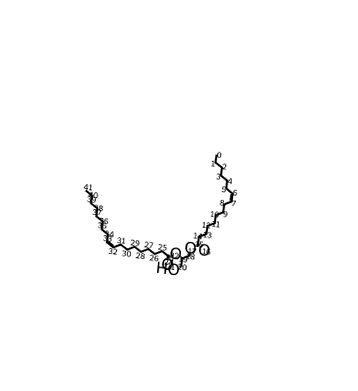 CCCCCC/C=C\CCCCCCCC(=O)OCC(CO)OC(=O)CCCCCCC/C=C\CCCCCCCC